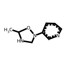 CC1NCN(c2[c]nccc2)O1